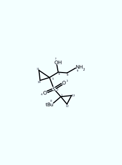 CC(C)(C)C1(S(=O)(=O)C2(C(O)CN)CC2)CC1